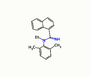 CCN(C(=N)c1cccc2ccccc12)c1c(C)cccc1C